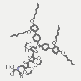 CCCCCCOc1ccc(-c2ccc(N(c3ccc(-c4ccc(OCCCCCC)cc4OCCCCCC)cc3)c3sc(-c4sc(-c5sc(/C=C(\C#N)C(=O)O)c6c5OCCO6)c5c4OCCO5)c4c3OCCO4)cc2)c(OCCCCCC)c1